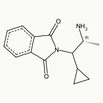 C[C@@H](N)C(C1CC1)N1C(=O)c2ccccc2C1=O